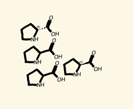 O=C(O)C1CCCN1.O=C(O)C1CCCN1.O=C(O)[C@@H]1CCCN1.O=C(O)[C@H]1CCCN1